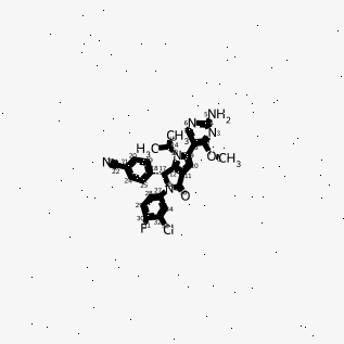 COc1nc(N)ncc1-c1cc2c(n1C(C)C)[C@@H](c1ccc(C#N)cc1)N(c1ccc(F)c(Cl)c1)C2=O